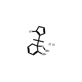 CC(C)(C)OC1(C(C)(C)C2=[C]([Ti+2])CC=C2)CC=CC=C1C(C)(C)C.[Cl-].[Cl-]